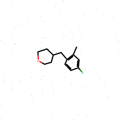 Cc1cc(F)ccc1CC1CCOCC1